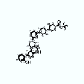 CC(C)(C)OC(=O)N1CCC(N2CCN(c3ccnc(N4CCN5c6cc(-c7ccccc7O)nnc6NC[C@H]5C4)n3)CC2)CC1